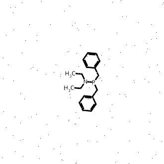 CCN(CC)P(Cc1ccccc1)Cc1ccccc1